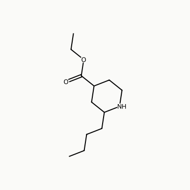 CCCCC1CC(C(=O)OCC)CCN1